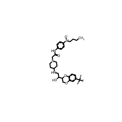 CCCC[S+]([O-])c1ccc(NC(=O)CN2CCC(NCC(O)C3COc4cc(C(F)(F)F)ccc4O3)CC2)cc1